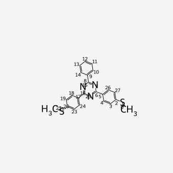 CSc1ccc(-c2nc(-c3ccccc3)nc(-c3ccc(SC)cc3)n2)cc1